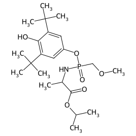 COCP(=O)(NC(C)C(=O)OC(C)C)Oc1cc(C(C)(C)C)c(O)c(C(C)(C)C)c1